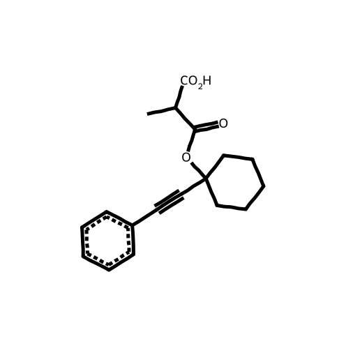 CC(C(=O)O)C(=O)OC1(C#Cc2ccccc2)CCCCC1